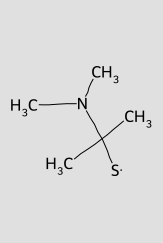 CN(C)C(C)(C)[S]